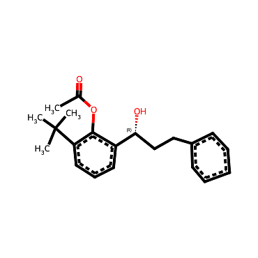 CC(=O)Oc1c([C@H](O)CCc2ccccc2)cccc1C(C)(C)C